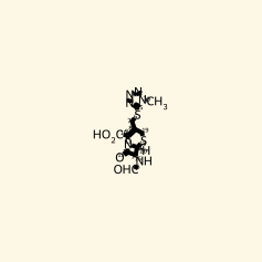 Cn1nnnc1SCC1=C(C(=O)O)N2C(=O)C(NC=O)[C@@H]2SC1